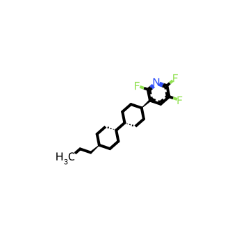 CCC[C@H]1CC[C@H]([C@H]2CC[C@H](c3cc(F)c(F)nc3F)CC2)CC1